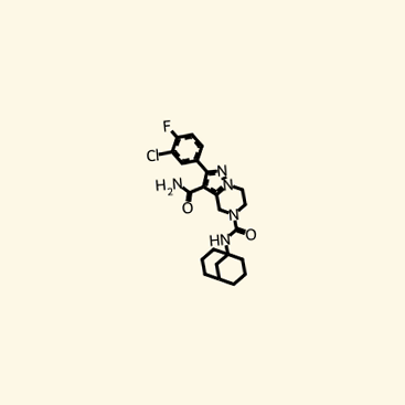 NC(=O)c1c(-c2ccc(F)c(Cl)c2)nn2c1CN(C(=O)NC13CCCC(CCC1)C3)CC2